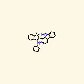 CC1(C)c2ccccc2-c2c1c1c3[nH]c4ccccc4c3ccc1n2-c1ccccc1